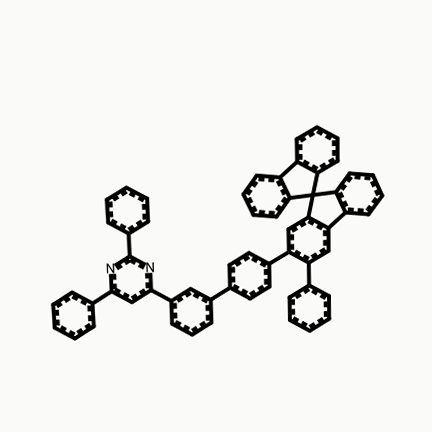 c1ccc(-c2cc(-c3cccc(-c4ccc(-c5cc6c(cc5-c5ccccc5)-c5ccccc5C65c6ccccc6-c6ccccc65)cc4)c3)nc(-c3ccccc3)n2)cc1